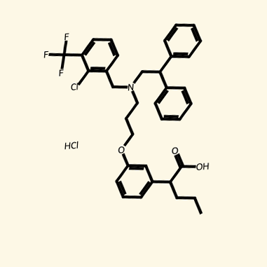 CCCC(C(=O)O)c1cccc(OCCCN(Cc2cccc(C(F)(F)F)c2Cl)CC(c2ccccc2)c2ccccc2)c1.Cl